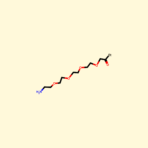 CCC(=O)COCCOCCOCCOCCN